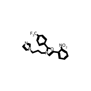 O=[N+]([O-])c1ccccc1C1=CN(CCCn2ccnc2)C(c2ccc(C(F)(F)F)cc2)O1